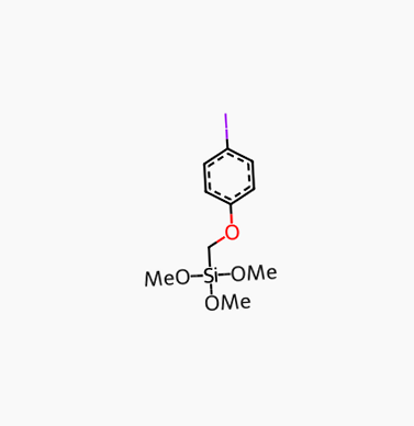 CO[Si](COc1ccc(I)cc1)(OC)OC